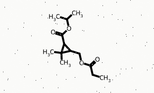 CCC(=O)OCC1C(C(=O)OC(C)C)C1(C)C